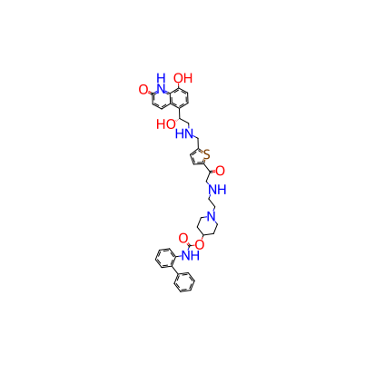 O=C(Nc1ccccc1-c1ccccc1)OC1CCN(CCNCC(=O)c2ccc(CNC[C@H](O)c3ccc(O)c4[nH]c(=O)ccc34)s2)CC1